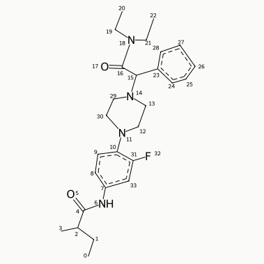 CCC(C)C(=O)Nc1ccc(N2CCN(C(C(=O)N(CC)CC)c3ccccc3)CC2)c(F)c1